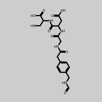 O=CNCc1ccc(CC(=O)NCC(=O)NC(CC(=O)O)C(=O)NC(CS)C(=O)O)cc1